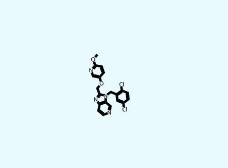 COc1ccc(OCc2nc3ccncc3n2Cc2cc(Cl)ccc2Cl)cn1